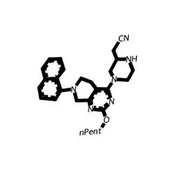 CCCCCOc1nc2c(c(N3CCNC(CC#N)C3)n1)CCN(c1cccc3ccccc13)C2